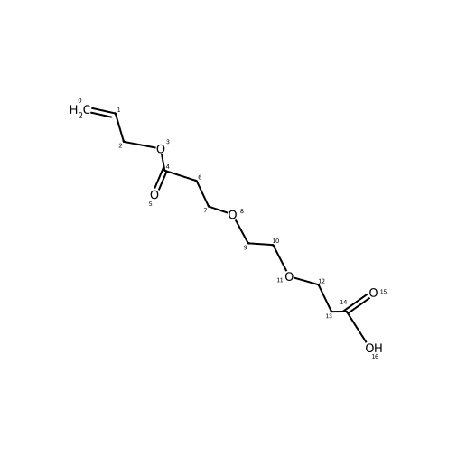 C=CCOC(=O)CCOCCOCCC(=O)O